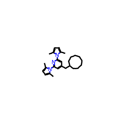 Cc1ccc(C)n1-c1cc(CC2CCCCCCCC2)cc(-n2c(C)ccc2C)n1